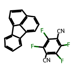 N#Cc1c(F)c(F)c(C#N)c(F)c1F.c1ccc2c(c1)-c1cccc3cccc-2c13